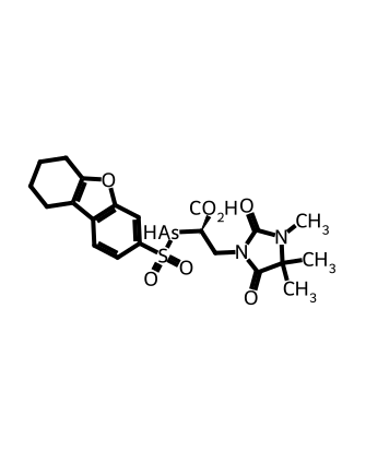 CN1C(=O)N(C[C@@H]([AsH]S(=O)(=O)c2ccc3c4c(oc3c2)CCCC4)C(=O)O)C(=O)C1(C)C